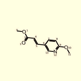 COC(=O)C=Cc1ccc(OC)nc1